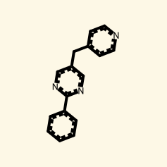 c1ccc(-c2ncc(Cc3ccncc3)cn2)cc1